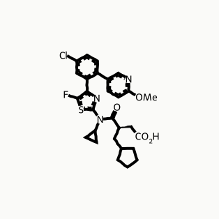 COc1ccc(-c2ccc(Cl)cc2-c2nc(N(C(=O)[C@@H](CC(=O)O)CC3CCCC3)C3CC3)sc2F)cn1